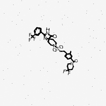 Cc1cc(C(=O)N2CCC(F)(F)CC2)ccc1CCS(=O)(=O)N1CCC2(CC1)N=C(c1cccc(C(F)(F)F)c1)NC2=O